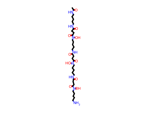 CC(=O)NCCCCCNC(=O)CCC(=O)N(O)CCCCCNC(=O)CCC(=O)N(O)CCCCCNC(=O)CCC(=O)N(O)CCCCCN